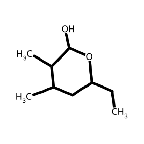 CCC1CC(C)C(C)C(O)O1